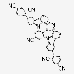 N#Cc1ccc(-c2ccc3c(c2)c2ccccc2n3-c2cc(C#N)cc(-n3c4ccccc4c4cc(-c5ccc(C#N)cc5C#N)ccc43)c2-c2ccncc2)c(C#N)c1